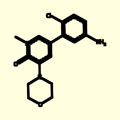 Cn1cc(-c2cc(N)ccc2Cl)cc(N2CCOCC2)c1=O